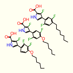 CCCCCCCc1cc(F)c(-c2c[nH]c(C(=O)O)c2F)cc1F.CCCCCCOc1cc(F)c(-c2c[nH]c(C(=O)O)c2F)cc1F.CCCCCCOc1ccc(-c2c[nH]c(C(=O)O)c2F)c(F)c1F